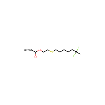 CCCCCC(=O)OCCSCCCCCC(C)(F)F